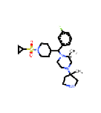 C[C@H]1CN(C2(C)CCNCC2)CCN1C(c1cccc(F)c1)C1CCN(S(=O)(=O)C2CC2)CC1